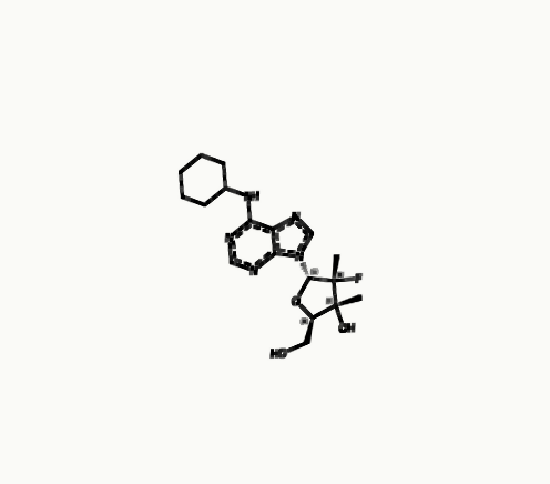 C[C@]1(F)[C@@H](n2cnc3c(NC4CCCCC4)ncnc32)O[C@H](CO)[C@@]1(C)O